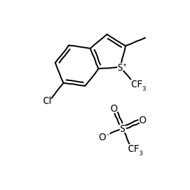 Cc1cc2ccc(Cl)cc2[s+]1C(F)(F)F.O=S(=O)([O-])C(F)(F)F